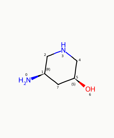 N[C@H]1CNC[C@@H](O)C1